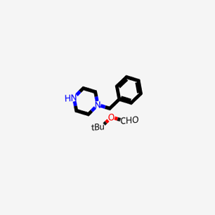 CC(C)(C)OC=O.c1ccc(CN2CCNCC2)cc1